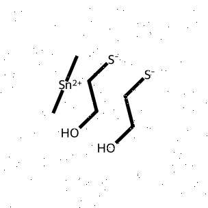 OCC[S-].OCC[S-].[CH3][Sn+2][CH3]